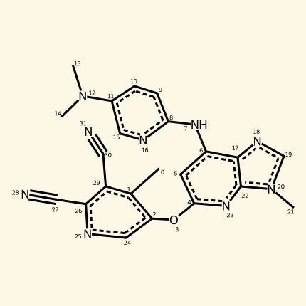 Cc1c(Oc2cc(Nc3ccc(N(C)C)cn3)c3ncn(C)c3n2)cnc(C#N)c1C#N